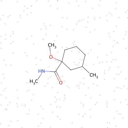 CNC(=O)C1(OC)CCCC(C)C1